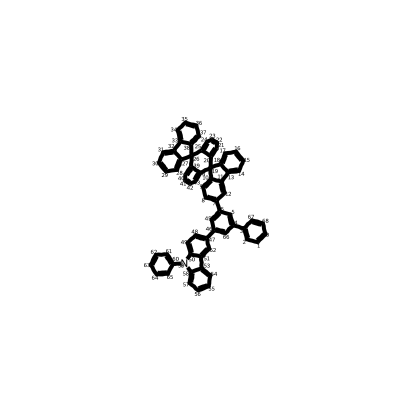 c1ccc(-c2cc(-c3ccc4c(c3)-c3ccccc3C43c4ccccc4C4(c5ccccc5-c5ccccc54)c4ccccc43)cc(-c3ccc4c(c3)c3ccccc3n4-c3ccccc3)c2)cc1